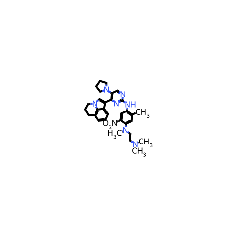 Cc1cc(N(C)CCN(C)C)c([N+](=O)[O-])cc1Nc1ncc(N2CCCC2)c(-c2cn3c4c(cccc24)CCC3)n1